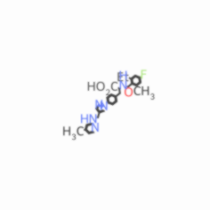 CCc1cc(F)cc(C)c1C(=O)NC(Cc1ccc(-n2cc(CNc3cc(C)ccn3)cn2)cc1)C(=O)O